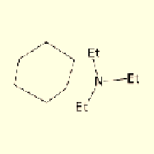 C1CCCCC1.CCN(CC)CC